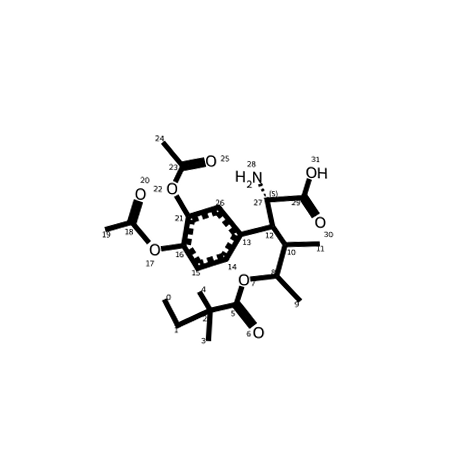 CCC(C)(C)C(=O)OC(C)C(C)C(c1ccc(OC(C)=O)c(OC(C)=O)c1)[C@H](N)C(=O)O